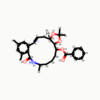 Cc1cc(C)c2c(c1)/C=C/C[C@@H]1OC(C)(C)OC1C(OC(=O)c1ccccc1)CCCC(C)NC2=O